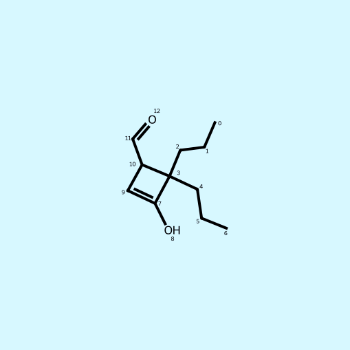 CCCC1(CCC)C(O)=CC1C=O